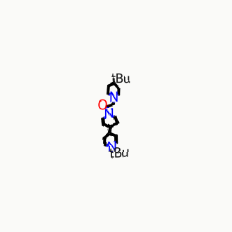 CC(C)(C)C1CCN(CC(=O)N2CCC(C3CCN(C(C)(C)C)CC3)CC2)CC1